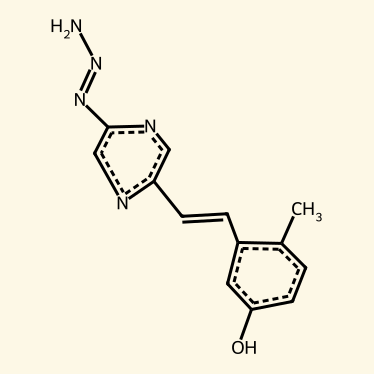 Cc1ccc(O)cc1/C=C/c1cnc(N=NN)cn1